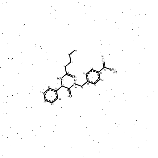 CCCCC(=O)NC(C(=O)NCc1ccc(C(N)=O)cc1)c1ccccc1